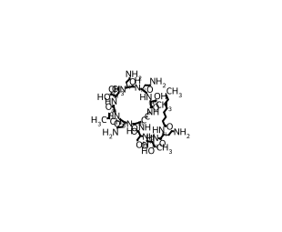 CCCCCCCCC(=O)N[C@@H](CCN)C(=O)N[C@H](C(=O)NC(CO)C(=O)N[C@H]1CCNC(=O)[C@H]([C@@H](C)O)NC(=O)[C@H](CCN)NC(=O)[C@H](CCN)NC(=O)[C@H]([C@@H](C)O)NC(=O)[C@@H](CC(C)C)NC(=O)[C@H](CCN)NC1=O)[C@@H](C)O